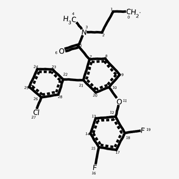 [CH2]CCN(C)C(=O)c1ccc(Oc2ccc(F)cc2F)cc1-c1cccc(Cl)c1